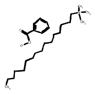 CCCCCCCCCCCCCCCC[N+](C)(C)C.O=C(O[O-])c1ccccc1